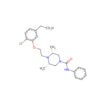 C[C@@H]1CN(C(=O)Nc2ccccc2)C[C@H](C)N1CCOc1cc(CC(=O)O)ccc1Cl